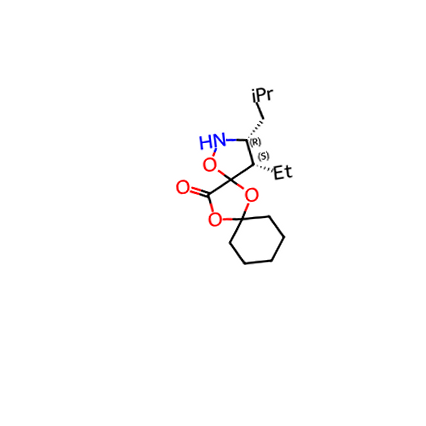 CC[C@H]1[C@@H](CC(C)C)NOC12OC1(CCCCC1)OC2=O